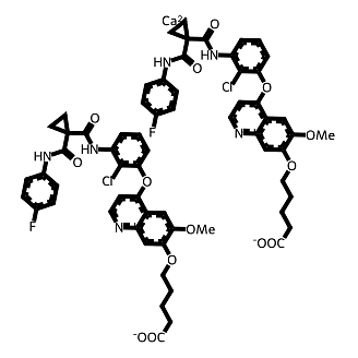 COc1cc2c(Oc3cccc(NC(=O)C4(C(=O)Nc5ccc(F)cc5)CC4)c3Cl)ccnc2cc1OCCCCC(=O)[O-].COc1cc2c(Oc3cccc(NC(=O)C4(C(=O)Nc5ccc(F)cc5)CC4)c3Cl)ccnc2cc1OCCCCC(=O)[O-].[Ca+2]